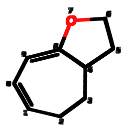 C1=CCCC2CCOC2=C1